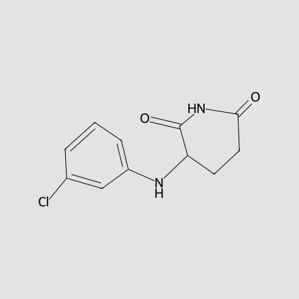 O=C1CCC(Nc2cccc(Cl)c2)C(=O)N1